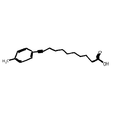 Cc1ccc(C#CCCCCCCCCC(=O)O)cc1